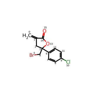 C=C1CC(CBr)(c2ccc(Cl)cc2)OC1=O